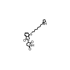 O=C1CCC(N2Cc3c(SCCCCCCCNC4CCC4)cccc3C2=O)C(=O)N1